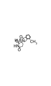 BC1(N2Cc3c(C)cccc3C2=O)CCC(=O)NC1=O